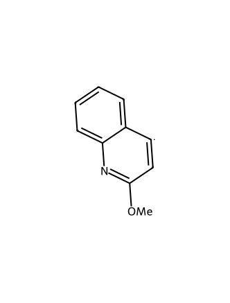 COc1c[c]c2ccccc2n1